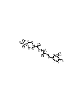 Cc1ccc(/C=C/C(=O)NCC(=O)N2CCN(S(C)(=O)=O)CC2)cc1Cl